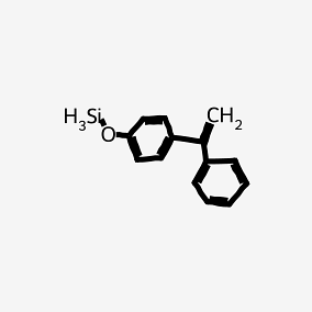 C=C(c1ccccc1)c1ccc(O[SiH3])cc1